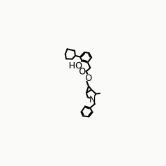 CC1C2C(COC(=O)Cc3cccc(C4CCCCC4)c3O)C2CN1Cc1ccccc1